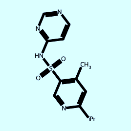 Cc1cc(C(C)C)ncc1S(=O)(=O)Nc1ccncn1